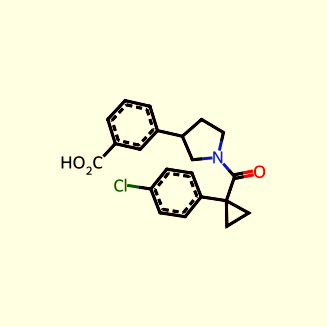 O=C(O)c1cccc(C2CCN(C(=O)C3(c4ccc(Cl)cc4)CC3)C2)c1